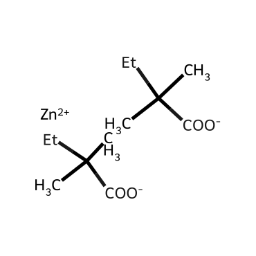 CCC(C)(C)C(=O)[O-].CCC(C)(C)C(=O)[O-].[Zn+2]